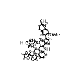 COc1cc2nc(C)ccc2cc1-c1cnc(C(CCCCCC2(c3ncco3)OCCO2)Nc2ncccn2)n1COCC[Si](C)(C)C